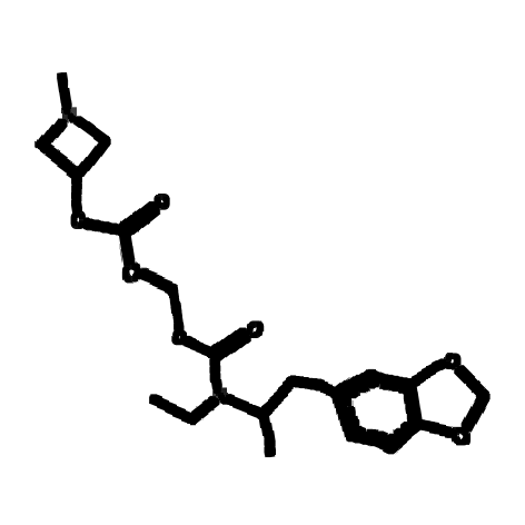 CCN(C(=O)OCOC(=O)OC1CN(C)C1)C(C)Cc1ccc2c(c1)OCO2